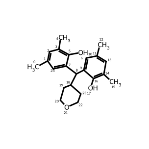 Cc1cc(C)c(O)c(C(c2cc(C)cc(C)c2O)C2CCOCC2)c1